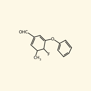 CC1C=C(C=O)C=C(Oc2ccccc2)C1F